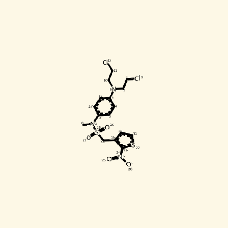 CN(c1ccc(N(CCCl)CCCl)cc1)S(=O)(=O)Cc1ccsc1[N+](=O)[O-]